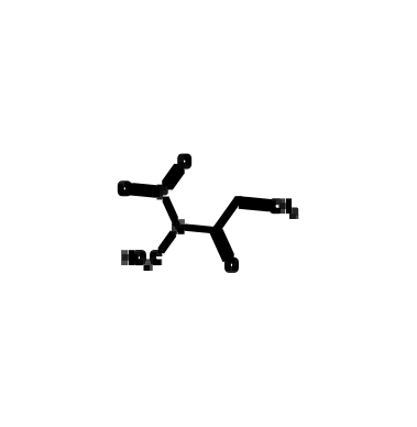 C=CC(=O)N(C(=O)O)P(=O)=O